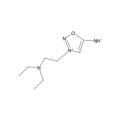 CCN(CC)CC[n+]1cc([NH-])on1